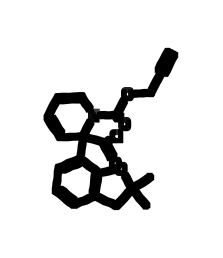 C#CCOC(=O)N1C=CC=CC1(C(=O)Cl)c1cccc2c1OC(C)(C)C2